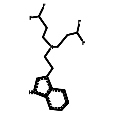 FC(F)CCN(CCc1c[nH]c2ccccc12)CCC(F)F